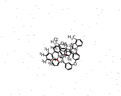 [2H]c1c([2H])c([2H])c(-c2cccc(-c3c([2H])c([2H])c([2H])c([2H])c3[2H])c2-[n+]2cn(-c3cccc(Oc4ccc5c(c4)n(-c4cc(C(C)(C)C)ccn4)c4nc6c(C)cccc6n54)c3)c3ccccc32)c([2H])c1[2H].[Cl-]